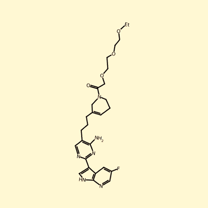 CCOCCOCCOCC(=O)N1CCC=C(CCCc2cnc(-c3c[nH]c4ncc(F)cc34)nc2N)C1